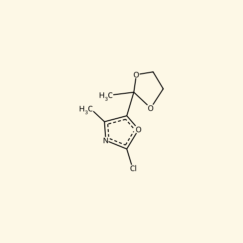 Cc1nc(Cl)oc1C1(C)OCCO1